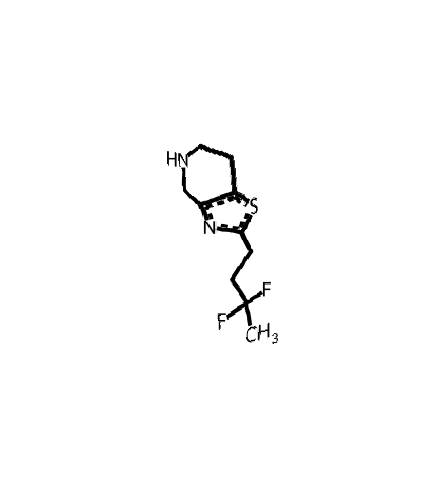 CC(F)(F)CCc1nc2c(s1)CCNC2